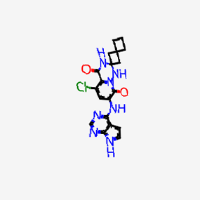 O=C1NC2(CC3(CCC3)C2)Nn2c1c(Cl)cc(Nc1ncnc3[nH]ccc13)c2=O